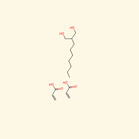 C=CC(=O)O.C=CC(=O)O.CCCCCCCC(CO)CO